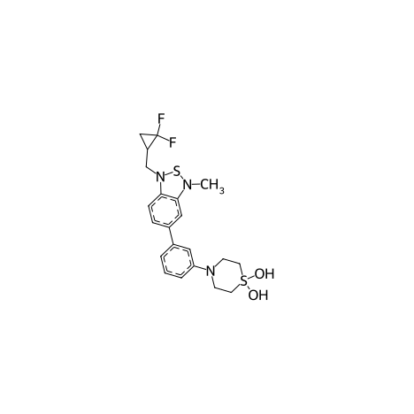 CN1SN(CC2CC2(F)F)c2ccc(-c3cccc(N4CCS(O)(O)CC4)c3)cc21